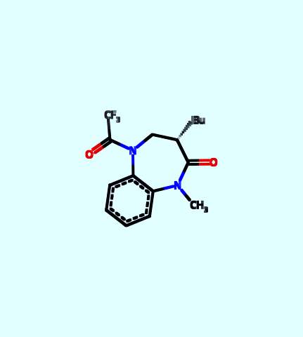 CCC(C)[C@H]1CN(C(=O)C(F)(F)F)c2ccccc2N(C)C1=O